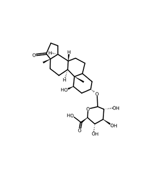 C[C@]12C(CC[C@@H]3[C@@H]1CC[C@]1(C)C(=O)CC[C@@H]31)C[C@H](OC1O[C@H](C(=O)O)[C@@H](O)[C@H](O)[C@H]1O)C[C@H]2O